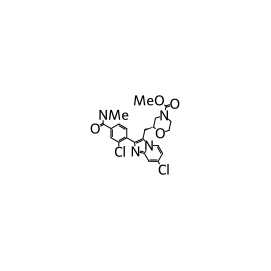 CNC(=O)c1ccc(-c2nc3cc(Cl)ccn3c2C[C@H]2CN(C(=O)OC)CCO2)c(Cl)c1